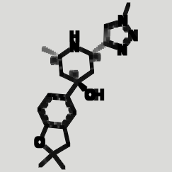 C[C@H]1C[C@@](O)(c2ccc3c(c2)CC(C)(C)O3)C[C@@H](c2cn(C)nn2)N1